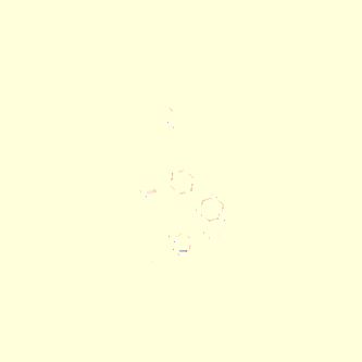 CCn1cc(Nc2ncnc(-c3ccc(O[C@H]4CCN(C(=O)CO)C[C@@H]4F)c(C#N)c3)n2)cn1